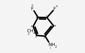 C.Nc1ccc(F)c(F)c1